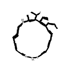 C=CC1=C(\C=C/C)/C=C\C=C/C=C/SP/N=C/C=C\C=C\CP/C(C)=C\1C(C)F